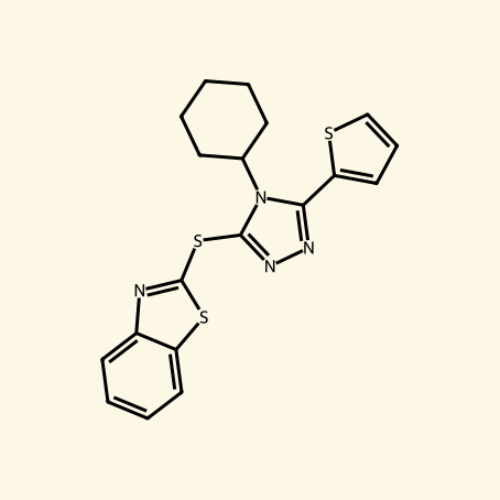 c1csc(-c2nnc(Sc3nc4ccccc4s3)n2C2CCCCC2)c1